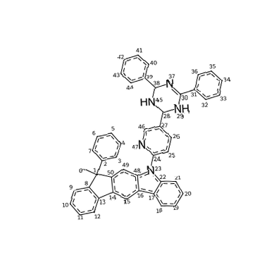 CC1(c2ccccc2)c2ccccc2-c2cc3c4ccccc4n(-c4ccc(C5NC(c6ccccc6)=NC(c6ccccc6)N5)cn4)c3cc21